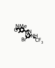 CNC(=O)c1ccc(-c2cnc3c(NCCC(F)(F)F)cc(Br)cn23)cc1C